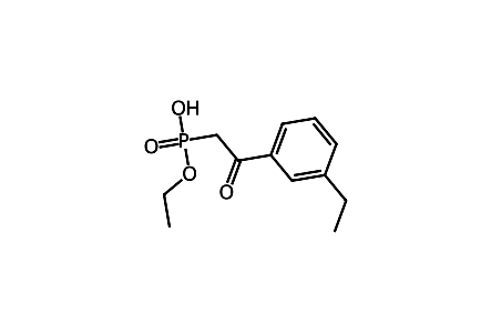 CCOP(=O)(O)CC(=O)c1cccc(CC)c1